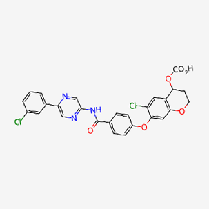 O=C(O)OC1CCOc2cc(Oc3ccc(C(=O)Nc4cnc(-c5cccc(Cl)c5)cn4)cc3)c(Cl)cc21